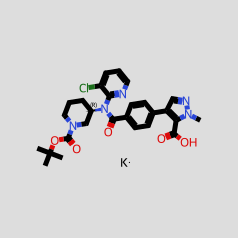 Cn1ncc(-c2ccc(C(=O)N(c3ncccc3Cl)[C@@H]3CCCN(C(=O)OC(C)(C)C)C3)cc2)c1C(=O)O.[K]